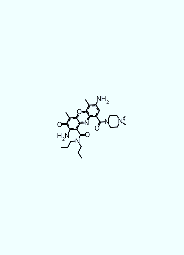 CCCN(CCC)C(=O)c1c2nc3c(C(=O)N4CC[N+](C)(C)CC4)cc(N)c(C)c3oc-2c(C)c(=O)c1N